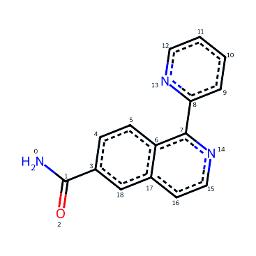 NC(=O)c1ccc2c(-c3ccccn3)nccc2c1